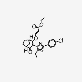 CCOC(=O)/C=C/OC1=C(c2nc(-c3ccc(Cl)cc3)sc2CC)C(=O)[C@H]2CC[C@@H]1C2